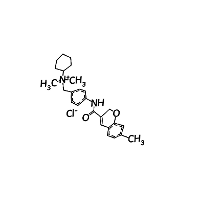 Cc1ccc2c(c1)OCC(C(=O)Nc1ccc(C[N+](C)(C)C3CCCCC3)cc1)=C2.[Cl-]